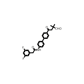 CC(C)(C=O)CC(=O)c1ccc(-c2ccc(NC(=O)Cc3cc(F)cc(F)c3)cc2)cc1